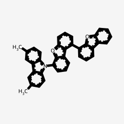 Cc1ccc2c(c1)c1cc(C)ccc1n2-c1cccc2c1oc1cccc(-c3cccc4c3oc3ccccc34)c12